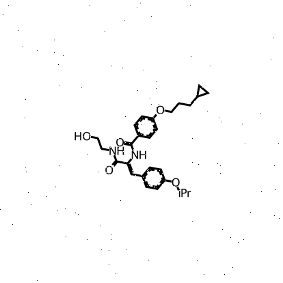 CC(C)Oc1ccc(/C=C(\NC(=O)c2ccc(OCCCC3CC3)cc2)C(=O)NCCO)cc1